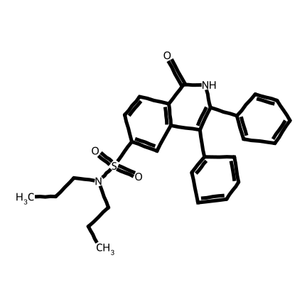 CCCN(CCC)S(=O)(=O)c1ccc2c(=O)[nH]c(-c3ccccc3)c(-c3ccccc3)c2c1